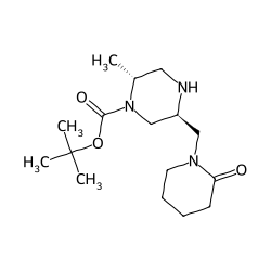 C[C@@H]1CN[C@@H](CN2CCCCC2=O)CN1C(=O)OC(C)(C)C